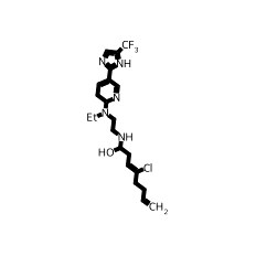 C=CCC/C(Cl)=C/CC(O)NCCN(CC)C1CC=C(c2ncc(C(F)(F)F)[nH]2)C=N1